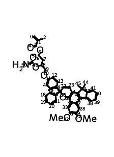 C=C(C)C(=O)OCCC(COc1ccc(C2(c3ccccc3)C=Cc3c4c(c5cc(OC)c(OC)cc5c3O2)-c2ccccc2C4(C)C)cc1)OC(N)=O